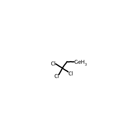 ClC(Cl)(Cl)[CH2][GeH3]